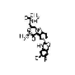 CC(=O)NCC1Cn2nc3c(c2C(=O)N(C)O1)CN(C(=O)Nc1cc(Cl)c(F)cc1F)CC3